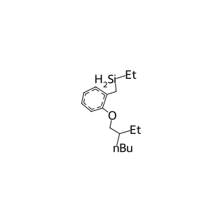 CCCCC(CC)COc1ccccc1C[SiH2]CC